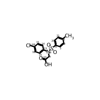 Cc1ccc(S(=O)(=O)N(CC(=O)O)c2ccc(Cl)cc2)cc1